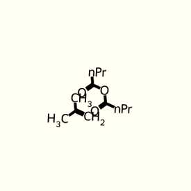 C=C(C)C.CCCC(=O)OC(=O)CCC